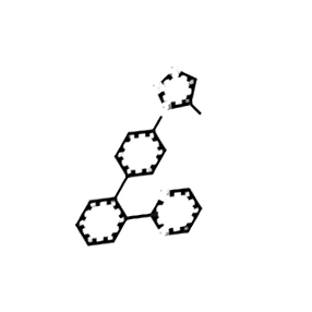 O=C(O)c1cnnn1-c1ccc(-c2ccccc2-c2ncccn2)cc1